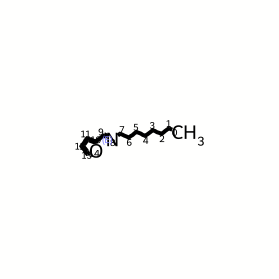 CCCCCCCC/N=C/c1ccco1